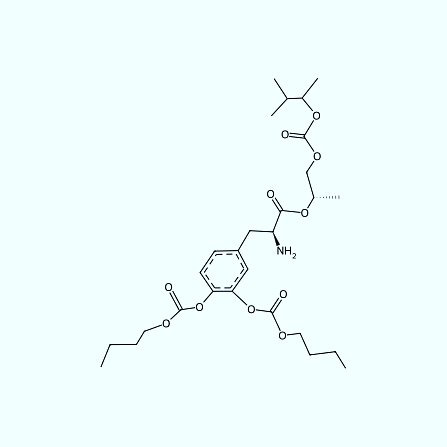 CCCCOC(=O)Oc1ccc(C[C@H](N)C(=O)O[C@@H](C)COC(=O)OC(C)C(C)C)cc1OC(=O)OCCCC